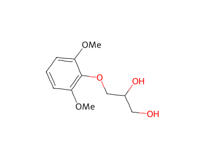 COc1cccc(OC)c1OCC(O)CO